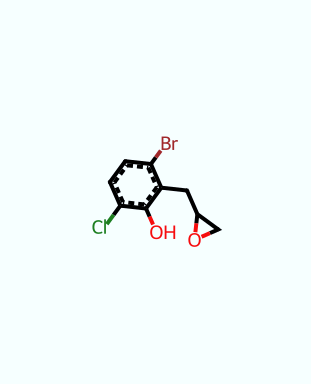 Oc1c(Cl)ccc(Br)c1CC1CO1